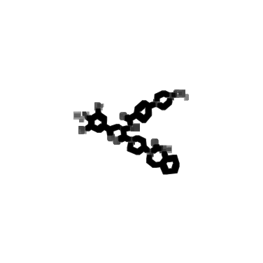 CN1CCN(c2ccc(C(=O)N[C@H](CC(=O)c3cc(Br)c(N)c(Br)c3)C(=O)N3CCC(N4CCc5ccccc5NC4=O)CC3)cc2)CC1